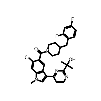 Cn1cc(-c2ccnc(C(C)(C)O)n2)c2cc(C(=O)N3CCC(Cc4ccc(F)cc4F)CC3)c(Cl)cc21